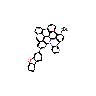 CC(C)(C)c1ccc(-c2ccccc2N(c2cccc(-c3ccc4c(c3)oc3ccccc34)c2)c2ccccc2-c2cccc3cccc(-c4ccccc4)c23)cc1